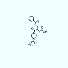 CC(C(=O)O)C(CSC(=S)c1ccccc1)C(=O)N1CCN(C(=O)OC(C)(C)C)CC1